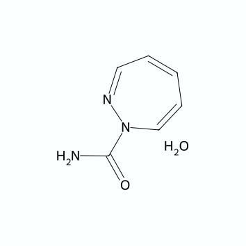 NC(=O)N1C=CC=CC=N1.O